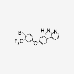 Nc1ncccc1-c1ccc(Oc2ccc(Br)c(C(F)(F)F)c2)cc1